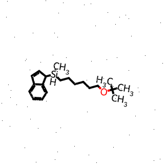 C[SiH](CCCCCCOC(C)(C)C)C1C=Cc2ccccc21